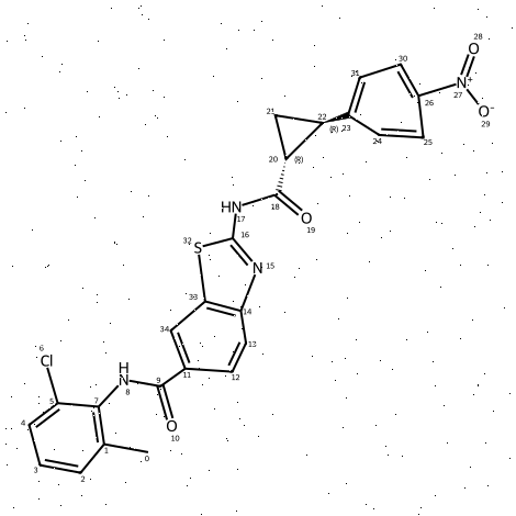 Cc1cccc(Cl)c1NC(=O)c1ccc2nc(NC(=O)[C@@H]3C[C@H]3c3ccc([N+](=O)[O-])cc3)sc2c1